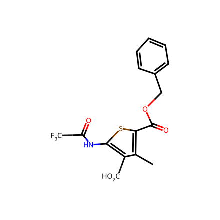 Cc1c(C(=O)OCc2ccccc2)sc(NC(=O)C(F)(F)F)c1C(=O)O